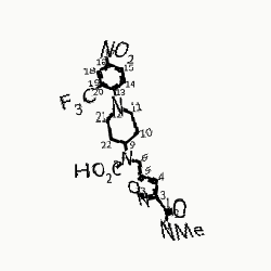 CNC(=O)c1cc(CN(C(=O)O)C2CCN(c3ccc([N+](=O)[O-])cc3C(F)(F)F)CC2)on1